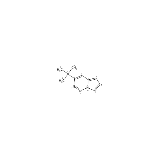 CC(C)(C)c1cc2cccn2nn1